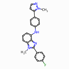 Cn1nccc1-c1ccc(Nc2cccc3c2nc(-c2ccc(F)cc2)n3C)cc1